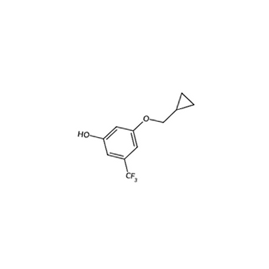 Oc1cc(OCC2CC2)cc(C(F)(F)F)c1